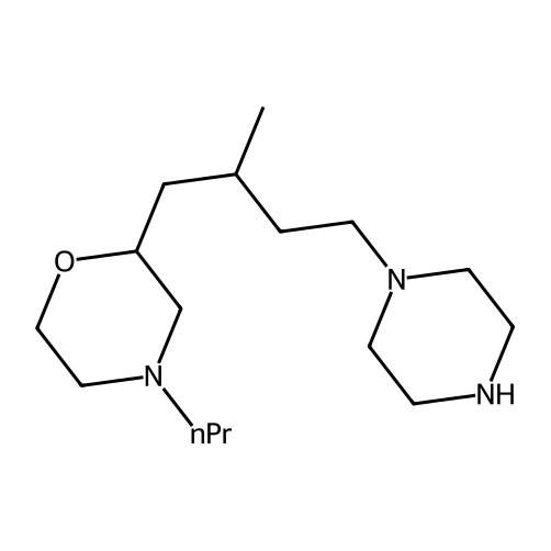 CCCN1CCOC(CC(C)CCN2CCNCC2)C1